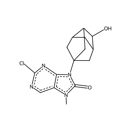 Cn1c(=O)n(C23CC4CC(C2)C(C3)C4O)c2nc(Cl)ncc21